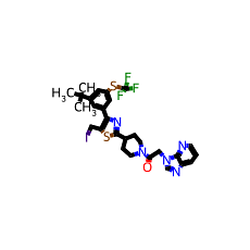 CC(C)(C)c1cc(SC(F)(F)F)cc(-c2nc(C3CCN(C(=O)Cn4cnc5cccnc54)CC3)sc2CI)c1